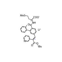 CSCC[C@H](NC(=O)c1ccc(/C=C(/C(=O)OC(C)(C)C)c2cccnc2)cc1-c1ccccc1C)C(=O)[O-].[Li+]